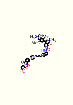 COc1cc(-c2cn(C)c(=O)c3c2CCN(C(=O)NC2CCC4CN(CCCCN5CCN(c6ccc7c(c6)C(=O)N(C6CCC(=O)NC6=O)C7=O)CC5)CC42)C3)cc(OC)c1CN(C)C